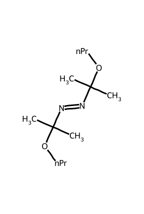 CCCOC(C)(C)N=NC(C)(C)OCCC